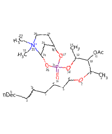 CCCCCCCCCCCCCCCCOC(C)C(OC(C)=O)C(C)OP1(=O)OC2CC[N+](C)(C)C(C2)O1